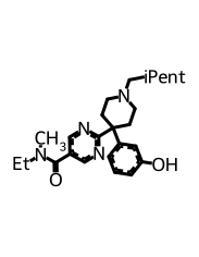 CCCC(C)CN1CCC(c2cccc(O)c2)(c2ncc(C(=O)N(C)CC)cn2)CC1